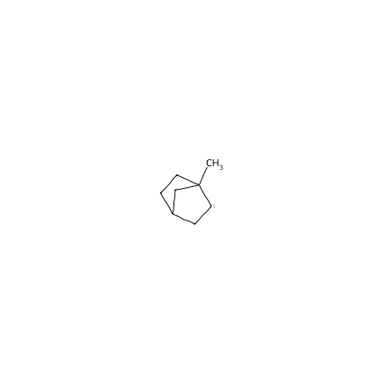 CC12[C]CC(CC1)C2